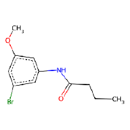 CCCC(=O)Nc1cc(Br)cc(OC)c1